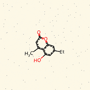 CCc1cc(O)c2c(C)cc(=O)oc2c1